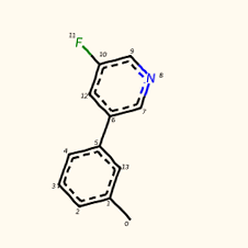 Cc1c[c]cc(-c2cncc(F)c2)c1